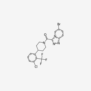 O=C(c1nnc2ccc(Br)cn12)N1CCC(c2cccc(Cl)c2C(F)(F)F)CC1